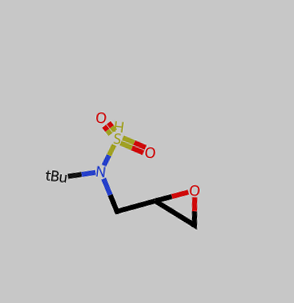 CC(C)(C)N(CC1CO1)[SH](=O)=O